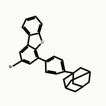 Brc1cc(-c2ccc(C34CC5CC(CC(C5)C3)C4)cc2)c2oc3ccccc3c2c1